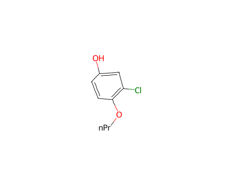 CCCOc1ccc(O)cc1Cl